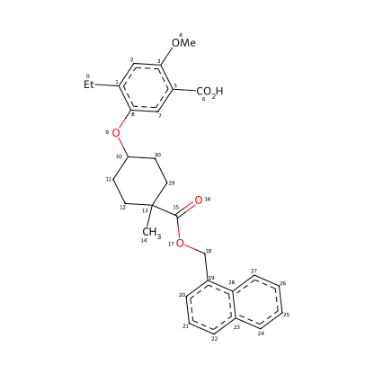 CCc1cc(OC)c(C(=O)O)cc1OC1CCC(C)(C(=O)OCc2cccc3ccccc23)CC1